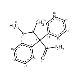 CSC(C)C(C(N)=O)(c1ccccc1)c1cccnc1